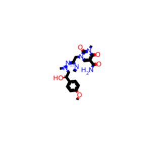 C=N/C(Cn1cc(C(N)=O)c(=O)n(C)c1=O)=N\N(C)C[C@H](O)c1ccc(OC)cc1